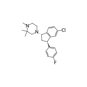 CN1CCN([C@H]2C[C@H](c3ccc(F)cc3)c3cc(Cl)ccc32)CC1(C)C